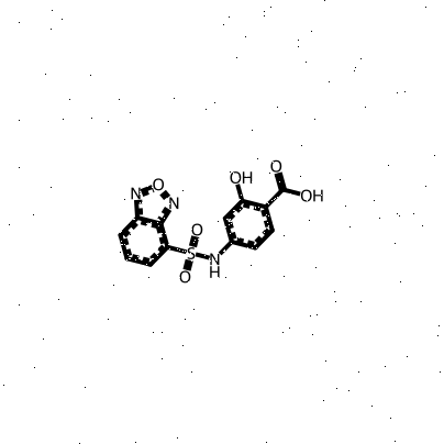 O=C(O)c1ccc(NS(=O)(=O)c2cccc3nonc23)cc1O